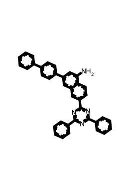 Nc1cc(-c2ccc(-c3ccccc3)cc2)cc2cc(-c3nc(-c4ccccc4)nc(-c4ccccc4)n3)ccc12